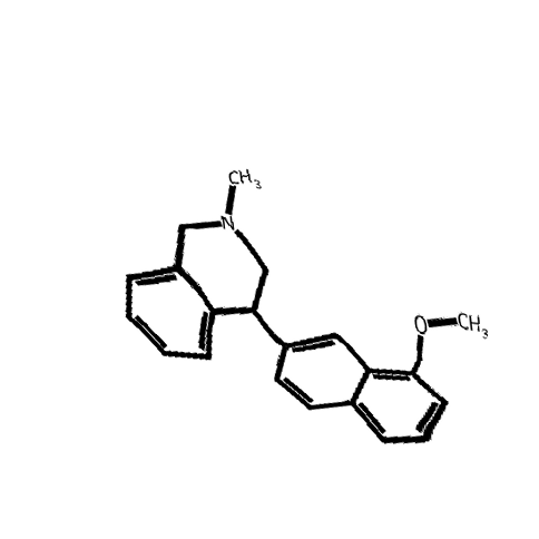 COc1cccc2ccc(C3CN(C)Cc4ccccc43)cc12